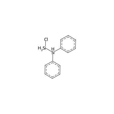 Cl[SiH2][SiH](c1ccccc1)c1ccccc1